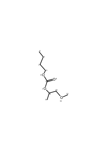 CCCCOC(=O)OC(C)COC